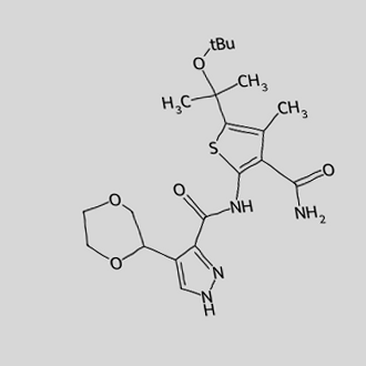 Cc1c(C(C)(C)OC(C)(C)C)sc(NC(=O)c2n[nH]cc2C2COCCO2)c1C(N)=O